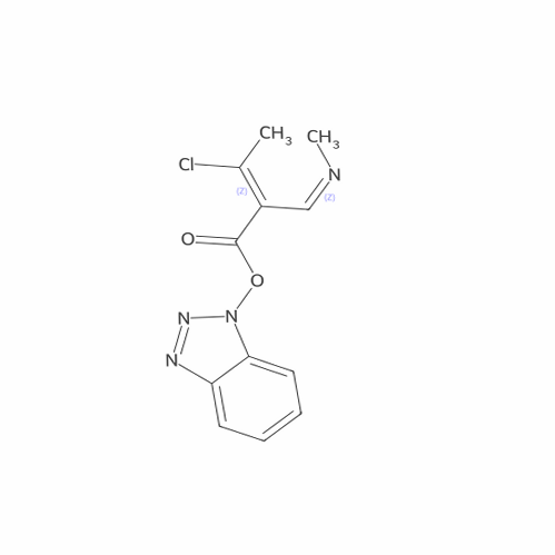 C/N=C\C(C(=O)On1nnc2ccccc21)=C(/C)Cl